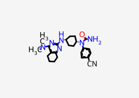 CN(C)c1nc(N[C@H]2CC[C@@H](N(C(N)=O)c3ccc(C#N)cc3)CC2)nc2c1CCCC2